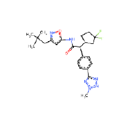 Cn1nnc(-c2ccc([C@@H](C(=O)Nc3cc(CC(C)(C)C)no3)[C@H]3CCC(F)(F)C3)cc2)n1